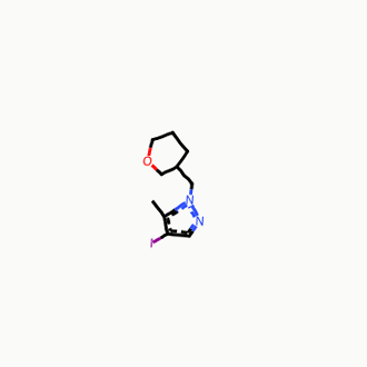 Cc1c(I)cnn1CC1CCCOC1